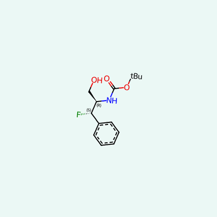 CC(C)(C)OC(=O)N[C@H](CO)[C@@H](F)c1ccccc1